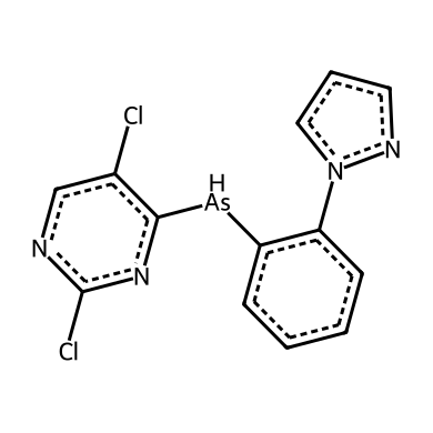 Clc1ncc(Cl)c([AsH]c2ccccc2-n2cccn2)n1